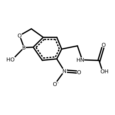 O=C(O)NCc1cc2c(cc1[N+](=O)[O-])B(O)OC2